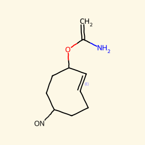 C=C(N)OC1/C=C/CCC(N=O)CC1